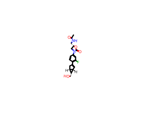 CC(=O)NC[C@H]1CN(c2ccc(C3=C[C@@H]4[C@H](CO)[C@H]4C3)c(F)c2)C(=O)O1